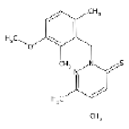 COc1ccc(C)c(Cn2nc(C)c(C)cc2=S)c1C